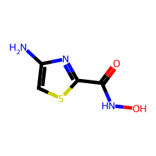 Nc1csc(C(=O)NO)n1